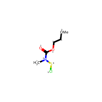 COCCOC(=O)N(C)SCl